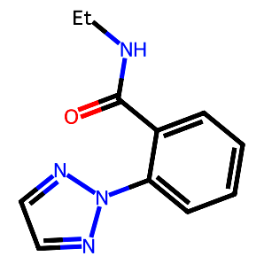 CCNC(=O)c1ccccc1-n1nccn1